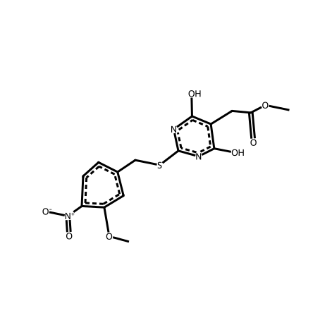 COC(=O)Cc1c(O)nc(SCc2ccc([N+](=O)[O-])c(OC)c2)nc1O